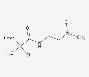 CCCCCCC(C)(CC)C(=O)NCCN(C)C